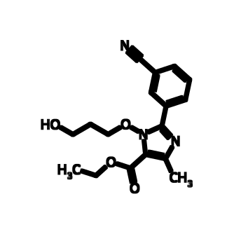 CCOC(=O)c1c(C)nc(-c2cccc(C#N)c2)n1OCCCO